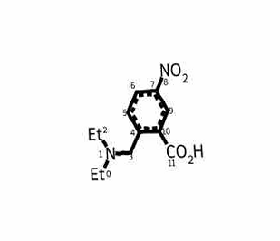 CCN(CC)Cc1ccc([N+](=O)[O-])cc1C(=O)O